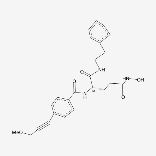 COCC#Cc1ccc(C(=O)N[C@@H](CCC(=O)NO)C(=O)NCCc2ccccc2)cc1